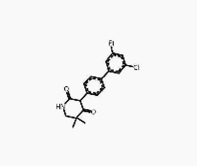 CCc1cc(Cl)cc(-c2ccc(C3C(=O)NCC(C)(C)C3=O)cc2)c1